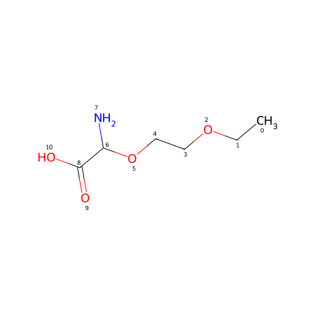 CCOCCOC(N)C(=O)O